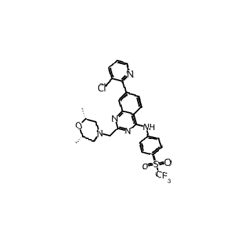 C[C@@H]1CN(Cc2nc(Nc3ccc(S(=O)(=O)C(F)(F)F)cc3)c3ccc(-c4ncccc4Cl)cc3n2)C[C@H](C)O1